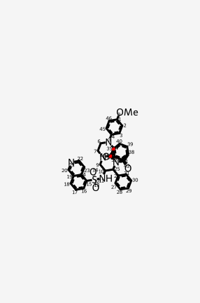 COc1ccc(N2CCN(CC(NS(=O)(=O)c3cccc4cnccc34)C(c3ccccc3)n3c(=O)c4ccc(cc4)c3=O)CC2)cc1